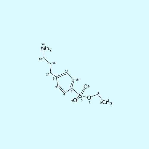 CCOS(=O)(=O)c1ccc(CCCN)cc1